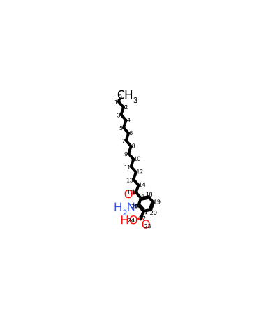 CCCCCCCCCCCCCCCC(=O)c1cccc(C(=O)O)c1N